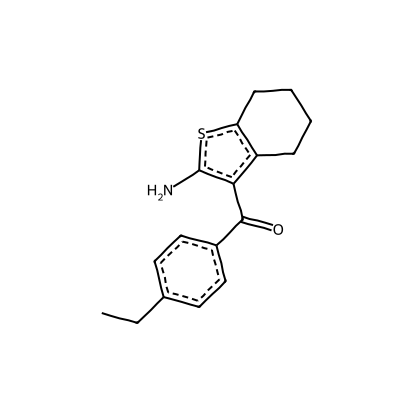 CCc1ccc(C(=O)c2c(N)sc3c2CCCC3)cc1